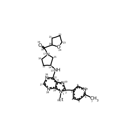 CCn1c(-c2ccc(C)nc2)nc2c(N[C@H]3CCN(C(=O)C4CCCO4)C3)ncnc21